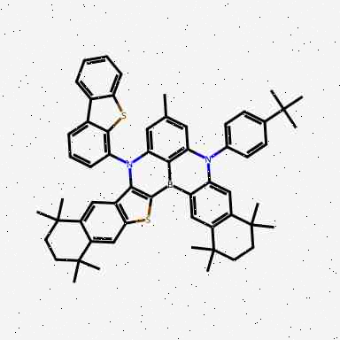 Cc1cc2c3c(c1)N(c1cccc4c1sc1ccccc14)c1c(sc4cc5c(cc14)C(C)(C)CCC5(C)C)B3c1cc3c(cc1N2c1ccc(C(C)(C)C)cc1)C(C)(C)CCC3(C)C